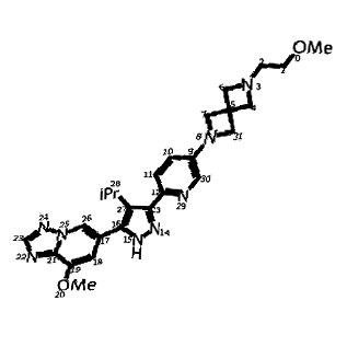 COCCN1CC2(C1)CN(c1ccc(-c3n[nH]c(-c4cc(OC)c5ncnn5c4)c3C(C)C)nc1)C2